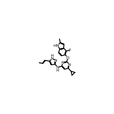 C/C=C/c1cc(Nc2cc(C3CC3)nc(Oc3ccc4[nH]c(C)cc4c3F)n2)n[nH]1